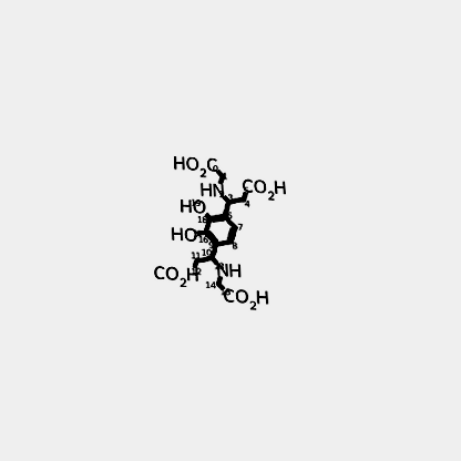 O=C(O)CNC(CC(=O)O)c1ccc(C(CC(=O)O)NCC(=O)O)c(O)c1O